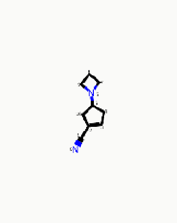 N#CC1=CCC(N2CCC2)C1